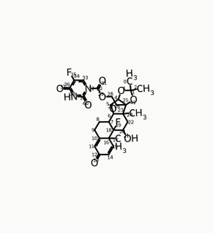 CC1(C)OC2CC3C4CCC5=CC(=O)C=CC5(C)C4(F)C(O)CC3(C)C2(C(=O)COC(=O)n2cc(F)c(=O)[nH]c2=O)O1